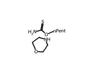 C1COCCN1.CCCCCOC(N)=S